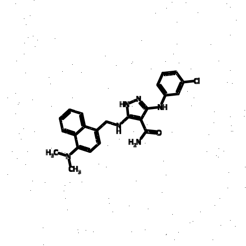 CN(C)c1ccc(CNc2[nH]nc(Nc3cccc(Cl)c3)c2C(N)=O)c2ccccc12